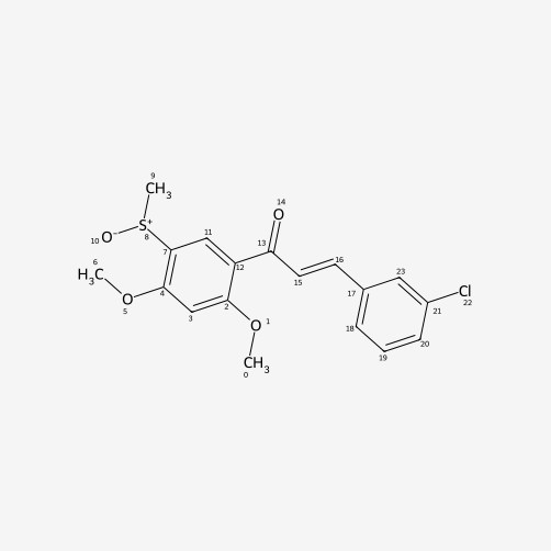 COc1cc(OC)c([S+](C)[O-])cc1C(=O)/C=C/c1cccc(Cl)c1